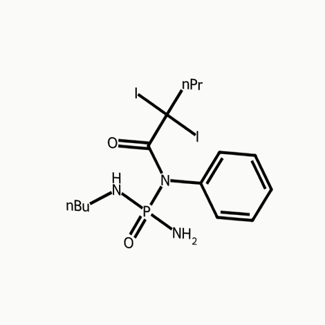 CCCCNP(N)(=O)N(C(=O)C(I)(I)CCC)c1ccccc1